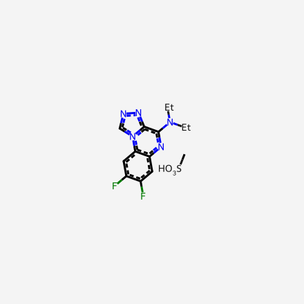 CCN(CC)c1nc2cc(F)c(F)cc2n2cnnc12.CS(=O)(=O)O